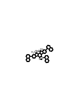 CC1(C)c2cc(-c3cccc4ccccc34)ccc2-c2c1c1c(c3c2ncn3-c2cccc3ccccc23)-c2ccc(-c3cccc4ccccc34)cc2C1(C)C